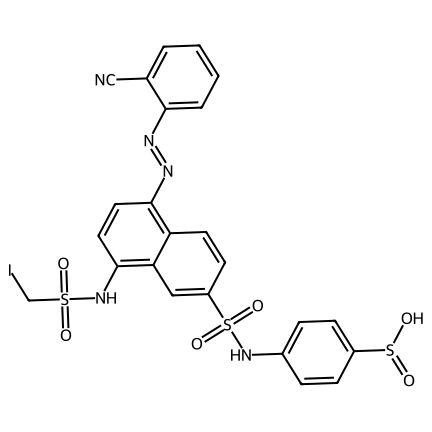 N#Cc1ccccc1N=Nc1ccc(NS(=O)(=O)CI)c2cc(S(=O)(=O)Nc3ccc(S(=O)O)cc3)ccc12